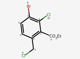 CCOC(=O)c1c(CCl)ccc(Br)c1Cl